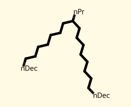 [CH2]CCC(CCCCCCCCCCCCCCCCC)CCCCCCCCCCCCCCCCCC